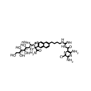 CCCCCCN(C[C@H](O)[C@@H](O)[C@H](O)[C@H](O)CO)N(CCC)[C@](CC)(C(N)=O)c1ccc2cc(CCCCNC(=N)NC(=O)c3nc(Cl)c(N)nc3N)ccc2c1